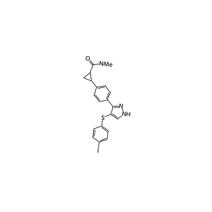 CNC(=O)C1CC1c1ccc(-c2n[nH]cc2Sc2ccc(I)cc2)cc1